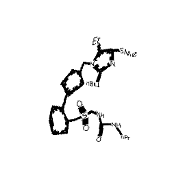 CCCCc1nc(SC)c(CC)n1Cc1ccc(-c2ccccc2S(=O)(=O)NC(=O)NCCC)cc1